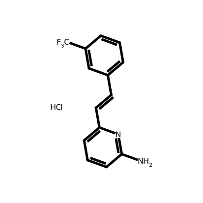 Cl.Nc1cccc(/C=C/c2cccc(C(F)(F)F)c2)n1